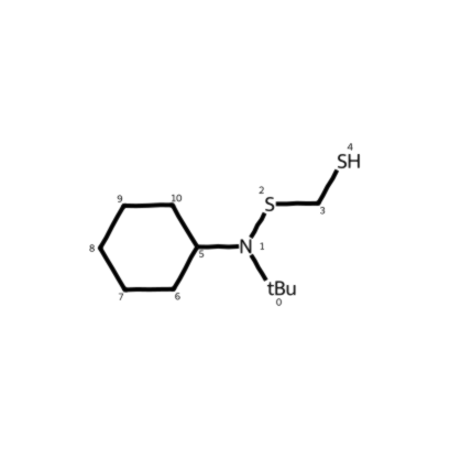 CC(C)(C)N(SCS)C1CCCCC1